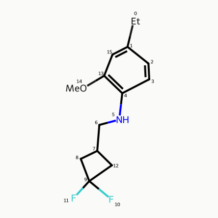 CCc1ccc(NCC2CC(F)(F)C2)c(OC)c1